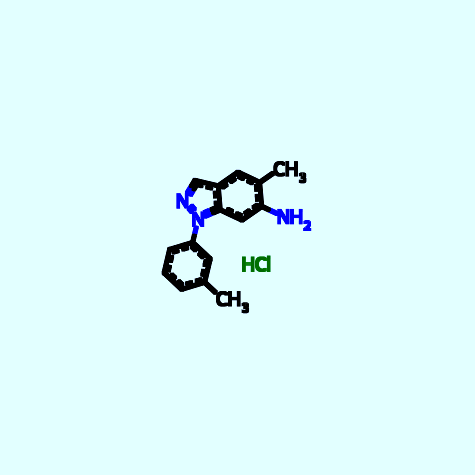 Cc1cccc(-n2ncc3cc(C)c(N)cc32)c1.Cl